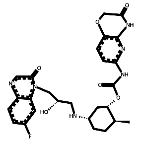 C[C@H]1CC[C@H](NC[C@H](O)Cn2c(=O)cnc3ccc(F)cc32)C[C@@H]1OC(=O)Nc1ccc2c(n1)NC(=O)CO2